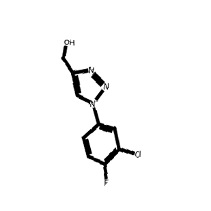 OCc1cn(-c2ccc(F)c(Cl)c2)nn1